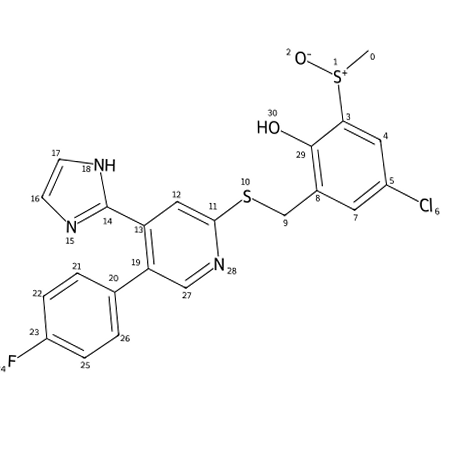 C[S+]([O-])c1cc(Cl)cc(CSc2cc(-c3ncc[nH]3)c(-c3ccc(F)cc3)cn2)c1O